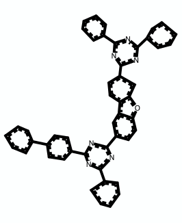 c1ccc(-c2ccc(-c3nc(-c4ccccc4)nc(-c4ccc5oc6cc(-c7nc(-c8ccccc8)nc(-c8ccccc8)n7)ccc6c5c4)n3)cc2)cc1